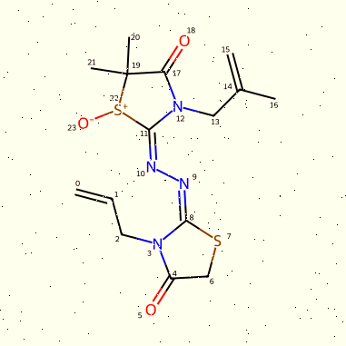 C=CCN1C(=O)CS/C1=N/N=C1\N(CC(=C)C)C(=O)C(C)(C)[S+]1[O-]